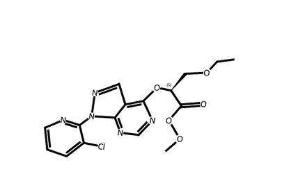 CCOC[C@H](Oc1ncnc2c1cnn2-c1ncccc1Cl)C(=O)OOC